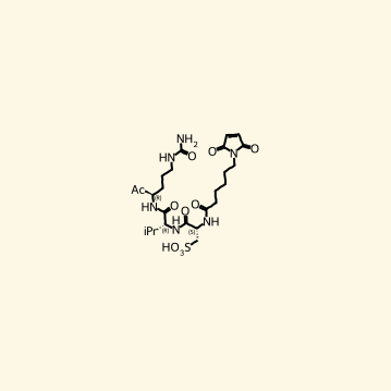 CC(=O)[C@@H](CCCNC(N)=O)NC(=O)[C@H](NC(=O)[C@@H](CS(=O)(=O)O)NC(=O)CCCCCN1C(=O)C=CC1=O)C(C)C